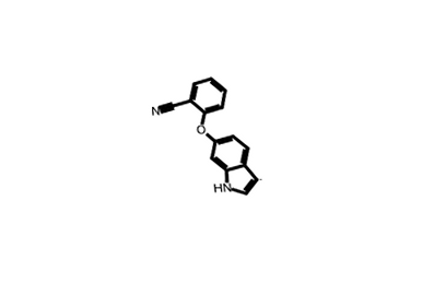 N#Cc1ccccc1Oc1ccc2[c]c[nH]c2c1